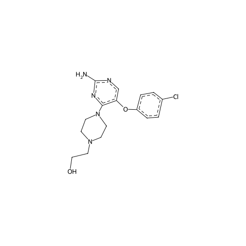 Nc1ncc(Oc2ccc(Cl)cc2)c(N2CCN(CCO)CC2)n1